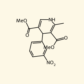 COC(=O)C1=CNC(C)=C(C(=O)OC)C1c1cccc([N+](=O)[O-])c1